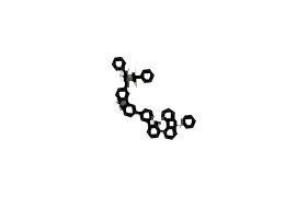 c1ccc(-c2nc(-c3ccccc3)nc(-c3ccc4oc5ccc(-c6ccc7c(c6)c6ccccc6n7-c6cccc7c6c6ccccc6n7-c6ccccc6)cc5c4c3)n2)cc1